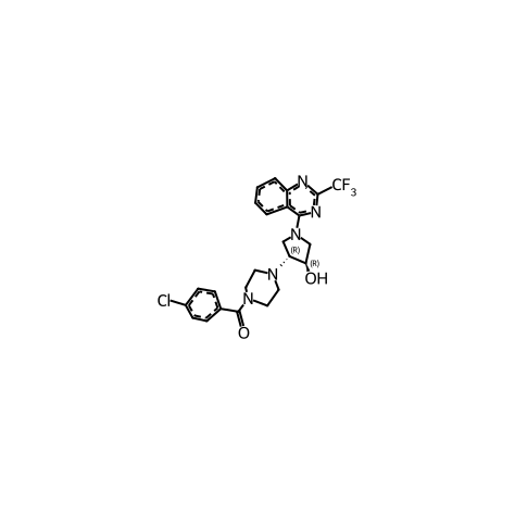 O=C(c1ccc(Cl)cc1)N1CCN([C@@H]2CN(c3nc(C(F)(F)F)nc4ccccc34)C[C@H]2O)CC1